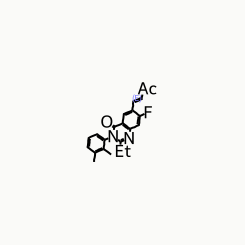 CCc1nc2cc(F)c(/C=C/C(C)=O)cc2c(=O)n1-c1cccc(C)c1C